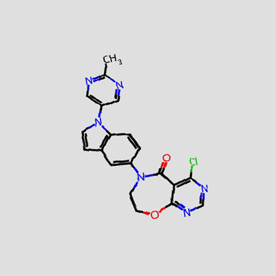 Cc1ncc(-n2ccc3cc(N4CCOc5ncnc(Cl)c5C4=O)ccc32)cn1